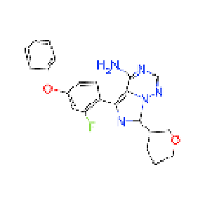 Nc1ncnn2c(C3CCCOC3)nc(-c3ccc(Oc4ccccc4)cc3F)c12